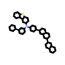 c1ccc(-c2cccc(N(c3ccc(-c4ccc5ccc(-c6ccc7ccccc7c6)cc5c4)cc3)c3ccc4sc5ccccc5c4c3)c2)cc1